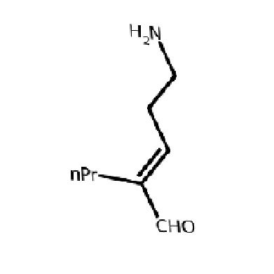 CCC/C(C=O)=C\CCN